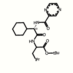 CC(C)CC(NC(=O)[C@@H](NC(=O)c1cnccn1)C1CCCCC1)C(=O)OC(C)(C)C